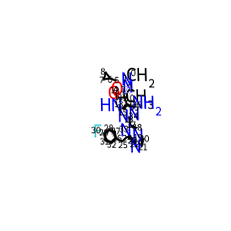 C=N/N=C(\OCC1CC1)C1(C)C(=O)Nc2nc(-c3cn4ccnc4c(Cc4ccc(F)cc4)n3)nc(N)c21